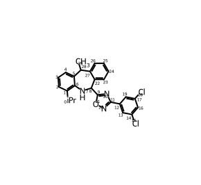 CC(C)c1cccc2c1NC(c1nc(-c3cc(Cl)cc(Cl)c3)no1)c1ccccc1C2C